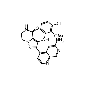 COc1c(Cl)cccc1Nc1c(-c2ccnc3cnc(N)cc23)nn2c1C(=O)NCC2